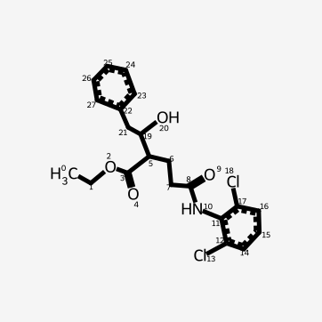 CCOC(=O)C(CCC(=O)Nc1c(Cl)cccc1Cl)C(O)Cc1ccccc1